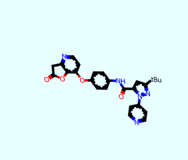 CC(C)(C)c1cc(C(=O)Nc2ccc(Oc3ccnc4c3OC(=O)C4)cc2)n(-c2ccncc2)n1